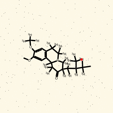 [2H]C([2H])([2H])Oc1cc2c(cc1OC)C1([2H])N(C([2H])([2H])C2([2H])[2H])C([2H])([2H])C([2H])(C([2H])([2H])C([2H])(C([2H])([2H])[2H])C([2H])([2H])C)C(=O)C1([2H])[2H]